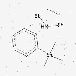 CCNCC.CI.[CH3][Sn]([CH3])([CH3])[c]1ccccc1